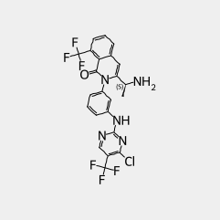 C[C@H](N)c1cc2cccc(C(F)(F)F)c2c(=O)n1-c1cccc(Nc2ncc(C(F)(F)F)c(Cl)n2)c1